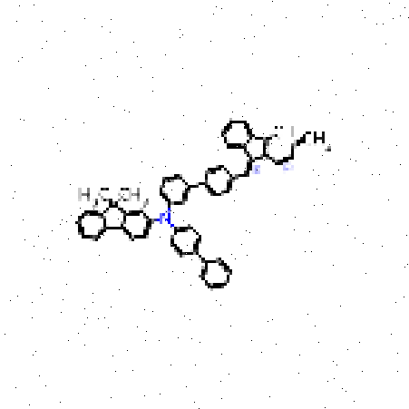 C=C/C=C\C1=C(C)c2ccccc2/C1=C\c1ccc(-c2cccc(N(c3ccc(-c4ccccc4)cc3)c3ccc4c(c3)C(C)(C)c3ccccc3-4)c2)cc1